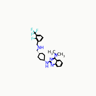 CN(C)c1nc(N[C@H]2CC[C@@H](CNCc3cccc(C(F)(F)F)c3F)CC2)nc2ccccc12